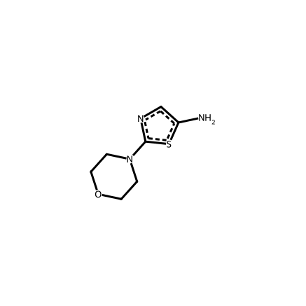 Nc1cnc(N2CCOCC2)s1